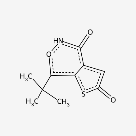 CC(C)(C)c1o[nH]c(=O)c2cc(=O)sc1-2